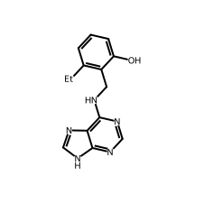 CCc1cccc(O)c1CNc1ncnc2[nH]cnc12